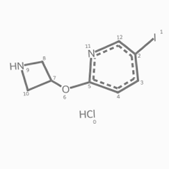 Cl.Ic1ccc(OC2CNC2)nc1